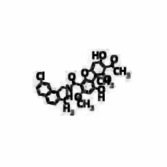 COc1cc(O)c2c(c1C(=O)NCc1c(C)ccc3ccc(Cl)cc13)OC1=CC(O)=C(C(C)=O)C(=O)[C@]12C